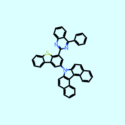 c1ccc(-c2nc(-c3cc(-n4c5ccc6ccccc6c5c5c6ccccc6ccc54)cc4c3sc3ccccc34)nc3ccccc23)cc1